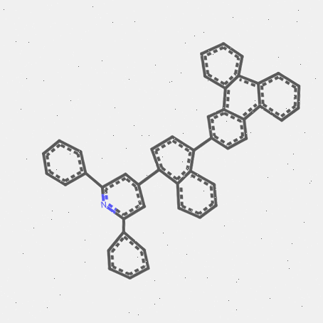 c1ccc(-c2cc(-c3ccc(-c4ccc5c6ccccc6c6ccccc6c5c4)c4ccccc34)cc(-c3ccccc3)n2)cc1